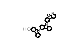 Cc1ccc2c(c1)c1ccccc1n2-c1ccc2c(c1)c1ccccc1n2-c1ccc2oc3ncccc3c2c1